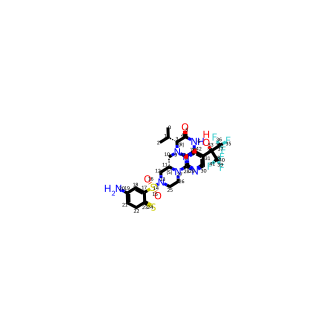 CC(C)[C@@H]1C(=O)NCCN1C[C@H]1CN(S(=O)(=O)C2=CC(N)=CCC2=S)CCN1c1ncc(C(O)(C(F)(F)F)C(F)(F)F)cn1